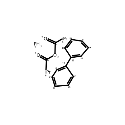 CC(C)C(=O)OC(=O)C(C)C.P.c1ccc(-c2ccccc2)cc1